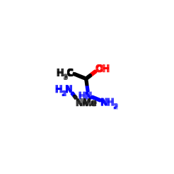 CC(O)NN.CNN